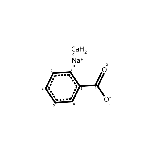 O=C([O-])c1ccccc1.[CaH2].[Na+]